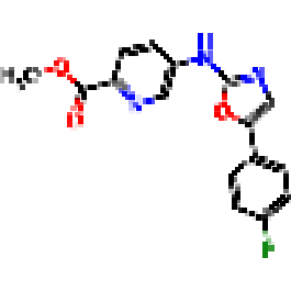 COC(=O)c1ccc(Nc2ncc(-c3ccc(F)cc3)o2)cn1